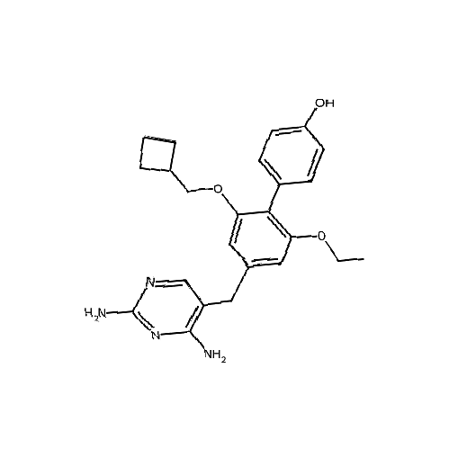 CCOc1cc(Cc2cnc(N)nc2N)cc(OCC2CCC2)c1-c1ccc(O)cc1